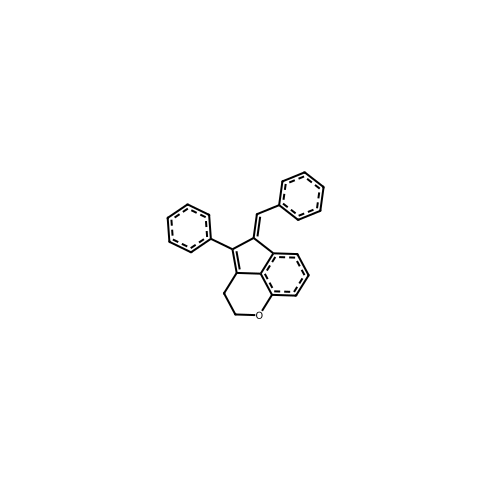 C(=C1\C(c2ccccc2)=C2CCOc3cccc1c32)/c1ccccc1